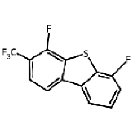 Fc1cccc2c1sc1c(F)c(C(F)(F)F)ccc12